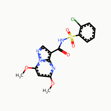 COc1cc(OC)n2ncc(C(=O)NS(=O)(=O)c3ccccc3Cl)c2n1